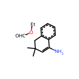 CC1(C)C=C(N)c2ccccc2C1.CCOC=O